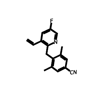 C=Cc1cc(F)cnc1Cc1c(C)cc(C#N)cc1C